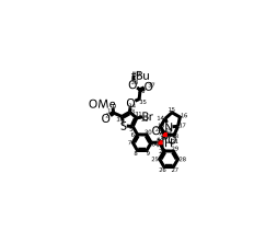 COC(=O)c1sc(-c2cccc(NC3CC4CCC(C3)N4S(=O)(=O)Cc3ccccc3)c2)c(Br)c1OCC(=O)OC(C)(C)C